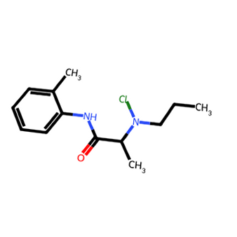 CCCN(Cl)C(C)C(=O)Nc1ccccc1C